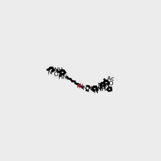 CC(=O)c1c(C)c2cnc(Nc3ccc(N4CCN(C/N=N/CCCCCCCNc5cccc(C(=O)Nc6ccc(C)nc6)c5C)CC4)cn3)nc2n(C2CCCC2)c1=O